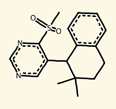 CC1(C)CCc2ccccc2C1c1cncnc1S(C)(=O)=O